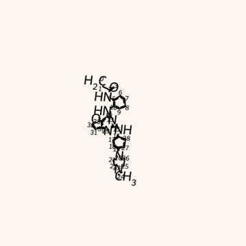 C=CC(=O)Nc1ccccc1Nc1nc(Nc2ccc(N3CCN(C)CC3)cc2)nc2ccoc12